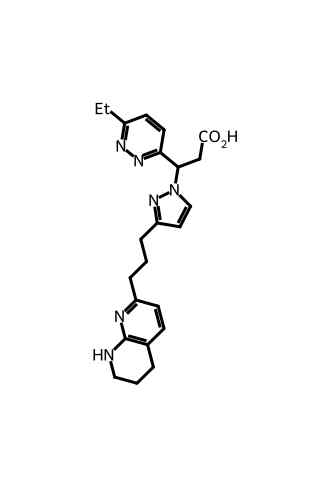 CCc1ccc(C(CC(=O)O)n2ccc(CCCc3ccc4c(n3)NCCC4)n2)nn1